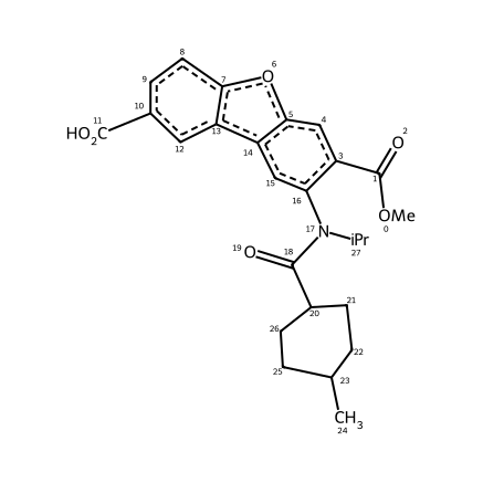 COC(=O)c1cc2oc3ccc(C(=O)O)cc3c2cc1N(C(=O)C1CCC(C)CC1)C(C)C